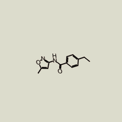 CCc1ccc(C(=O)Nc2cc(C)on2)cc1